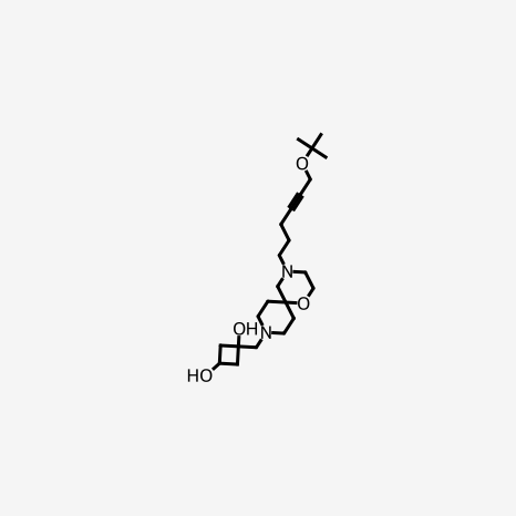 CC(C)(C)OCC#CCCCN1CCOC2(CCN(CC3(O)CC(O)C3)CC2)C1